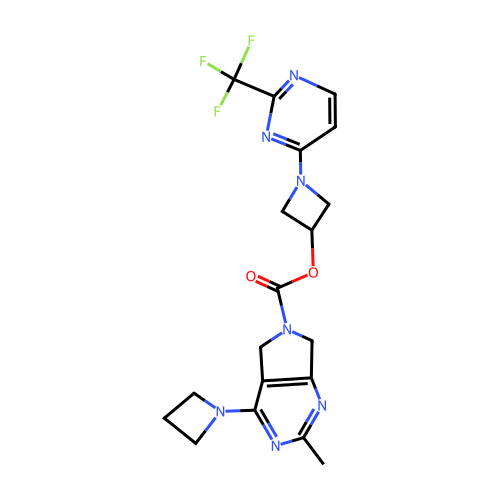 Cc1nc2c(c(N3CCC3)n1)CN(C(=O)OC1CN(c3ccnc(C(F)(F)F)n3)C1)C2